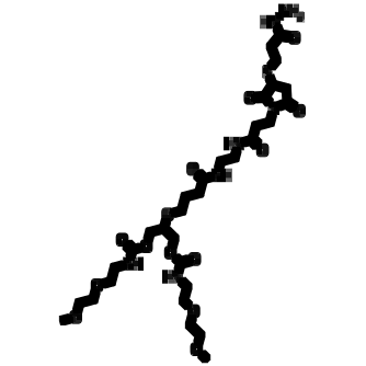 COCCOCCNC(=O)OCC(COC(=O)NCCOCCOC)OCCCC(=O)NCCNC(=O)CCN1C(=O)CC(SCCC(=O)NN)C1=O